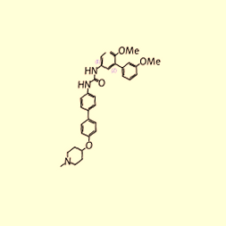 C=C(OC)/C(=C\C(=C/C)NC(=O)Nc1ccc(-c2ccc(OC3CCN(C)CC3)cc2)cc1)c1cccc(OC)c1